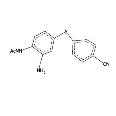 CC(=O)Nc1ccc(Sc2ccc(C#N)cc2)cc1N